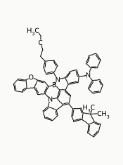 CCCCCc1ccc(N2B3c4cc5oc6ccccc6c5cc4-n4c5ccccc5c5c(-c6ccc7c(c6)C(C)(C)c6ccccc6-7)cc(c3c54)-c3cc(N(c4ccccc4)c4ccccc4)ccc32)cc1